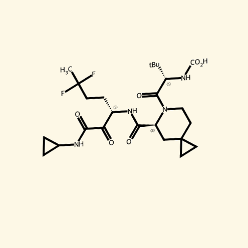 CC(F)(F)CC[C@H](NC(=O)[C@@H]1CC2(CCN1C(=O)[C@@H](NC(=O)O)C(C)(C)C)CC2)C(=O)C(=O)NC1CC1